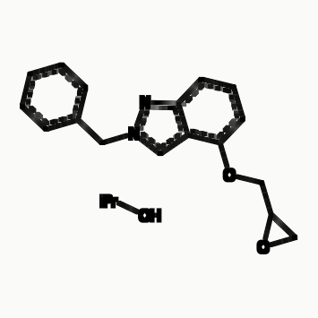 CC(C)O.c1ccc(Cn2cc3c(OCC4CO4)cccc3n2)cc1